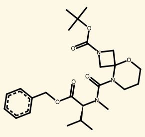 CC(C)[C@@H](C(=O)OCc1ccccc1)N(C)C(=O)N1CCCOC12CN(C(=O)OC(C)(C)C)C2